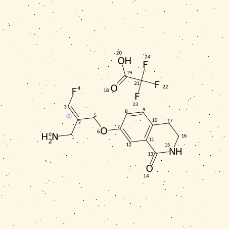 NC/C(=C/F)COc1ccc2c(c1)C(=O)NCC2.O=C(O)C(F)(F)F